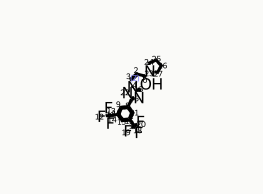 OC(/C=C\n1cnc(-c2cc(C(F)(F)F)cc(C(F)(F)F)c2)n1)N1CCCC1